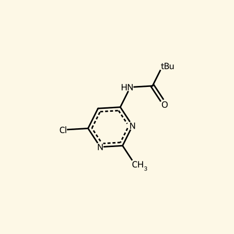 Cc1nc(Cl)cc(NC(=O)C(C)(C)C)n1